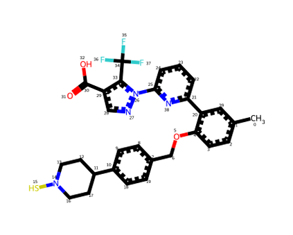 Cc1ccc(OCc2ccc(C3CCN(S)CC3)cc2)c(-c2cccc(-n3ncc(C(=O)O)c3C(F)(F)F)n2)c1